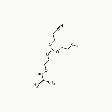 C=C(C)C(=O)OCCOP(OCCC#N)OCCSI